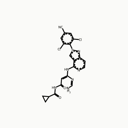 C=C(/C=C(\N=C/N)Nc1nccc2nn(-c3c(Cl)cc(C#N)cc3Cl)cc12)NC(=O)C1CC1